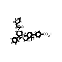 CC1(C)C(c2ccc(C(=O)O)cc2)=CC[C@]2(C)CN(C(=O)C3(c4ccccc4)CCN(C(=O)CC4CCOC4)CC3)CC=C12